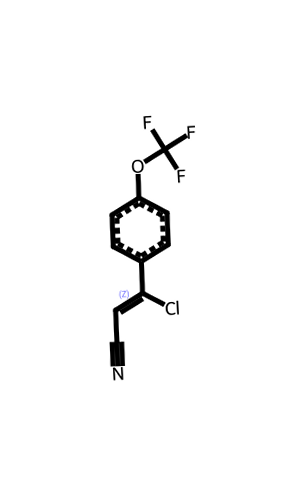 N#C/C=C(\Cl)c1ccc(OC(F)(F)F)cc1